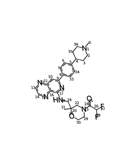 CN1CCC(c2ccc(-c3cc4nccnc4c(NCC4(C)CN(C(=O)C(F)F)CCO4)n3)cc2)CC1